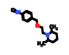 [C-]#[N+]c1ccc(COCCN2C(C)CCCC2C)cc1